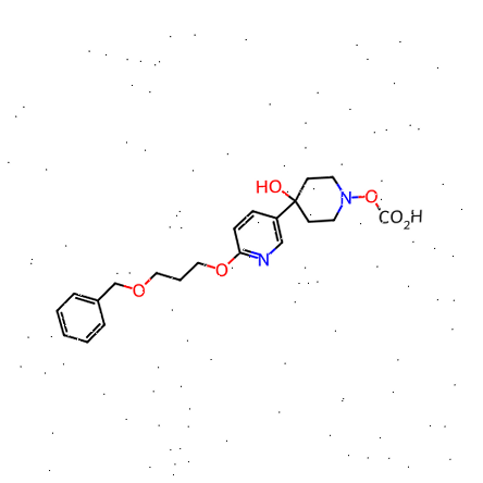 O=C(O)ON1CCC(O)(c2ccc(OCCCOCc3ccccc3)nc2)CC1